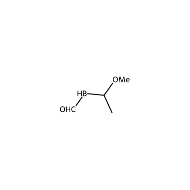 COC(C)BC=O